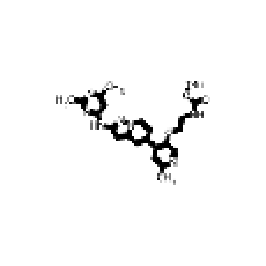 Cc1cc(-c2ccn3nc(Nc4cc(C)nc(C)n4)cc3c2)c(OCCNC(=O)OC(C)(C)C)cn1